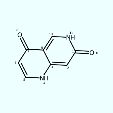 O=c1cc2[nH]ccc(=O)c2c[nH]1